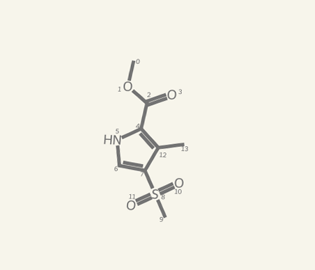 COC(=O)c1[nH]cc(S(C)(=O)=O)c1C